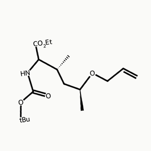 C=CCO[C@@H](C)C[C@@H](C)C(NC(=O)OC(C)(C)C)C(=O)OCC